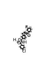 CC(NC(=O)c1ccc(Cl)cc1)c1ccc2c(c1)CCN2C(=O)c1cccc(F)c1